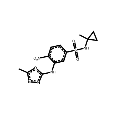 Cc1nnc(Nc2cc(S(=O)(=O)NC3(C)CC3)ccc2[N+](=O)[O-])o1